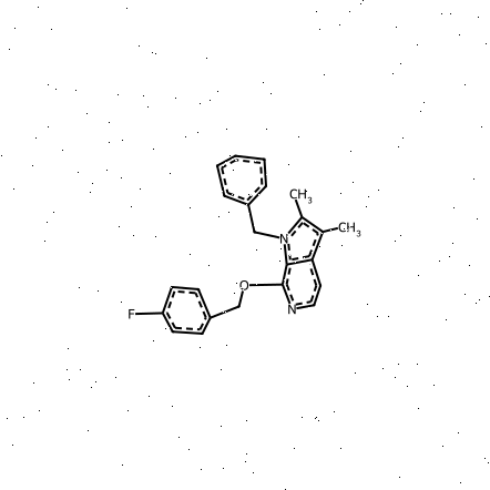 Cc1c(C)n(Cc2ccccc2)c2c(OCc3ccc(F)cc3)nccc12